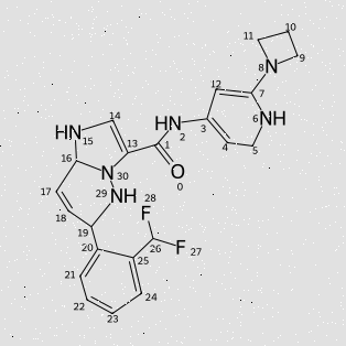 O=C(NC1=CCNC(N2CCC2)=C1)C1=CNC2C=CC(c3ccccc3C(F)F)NN12